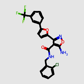 Nc1onc(-c2ccc(-c3cccc(C(F)(F)F)c3)o2)c1C(=O)NCc1ccccc1Cl